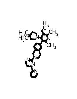 CCc1c(C)nc(C)c(-c2ccc3c(c2)CCN(c2nccc(-c4ccccn4)n2)C3)c1N1CCC(C)(C)CC1